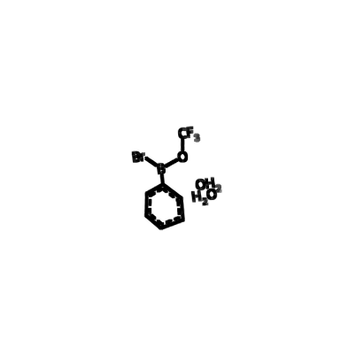 FC(F)(F)OB(Br)c1ccccc1.O.O